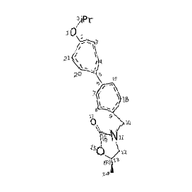 CC(C)Oc1ccc(-c2ccc(CN3C[C@@H](C)OC3=O)cc2)cc1